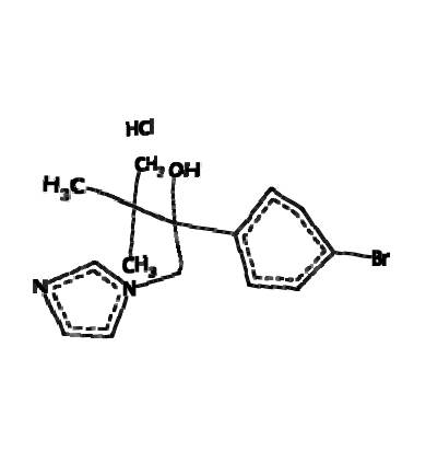 CC(C)(C)C(O)(Cn1ccnc1)c1ccc(Br)cc1.Cl